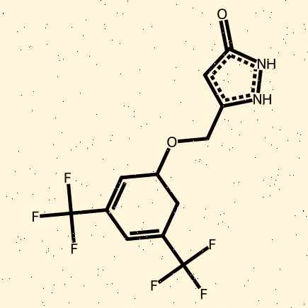 O=c1cc(COC2C=C(C(F)(F)F)C=C(C(F)(F)F)C2)[nH][nH]1